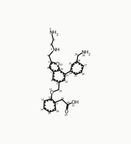 NCCNCc1cc2cc(COc3ccccc3CC(=O)O)cc(-c3cccc(CN)c3)c2o1